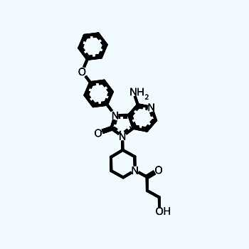 Nc1nccc2c1n(-c1ccc(Oc3ccccc3)cc1)c(=O)n2C1CCCN(C(=O)CCO)C1